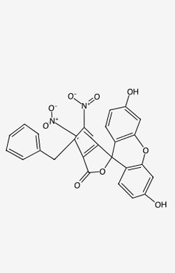 O=C1OC2(c3ccc(O)cc3Oc3cc(O)ccc32)c2cc([N+](=O)[O-])c([N+](=O)[O-])c(Cc3ccccc3)c21